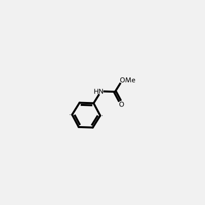 COC(=O)Nc1[c]cc[c]c1